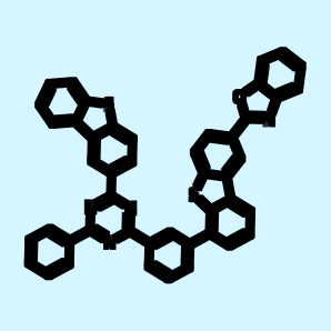 c1ccc(-c2nc(-c3cccc(-c4cccc5c4sc4ccc(-c6nc7ccccc7o6)cc45)c3)nc(-c3ccc4sc5ccccc5c4c3)n2)cc1